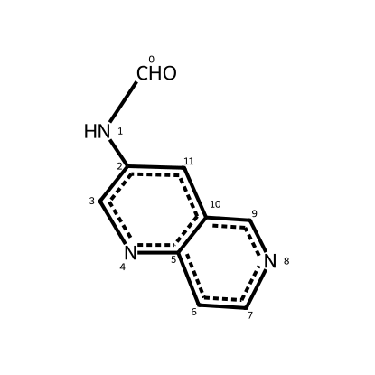 O=CNc1cnc2ccncc2c1